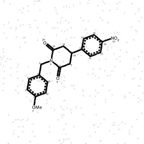 COc1ccc(CN2C(=O)CC(c3ccc([N+](=O)[O-])cc3)CC2=O)cc1